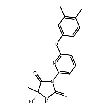 CC[C@@]1(C)NC(=O)N(c2cccc(Oc3ccc(C)c(C)c3)n2)C1=O